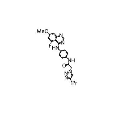 COc1cc(F)c2c(Nc3ccc(NC(=O)Cn4cc(C(C)C)nn4)cc3)ncnc2c1